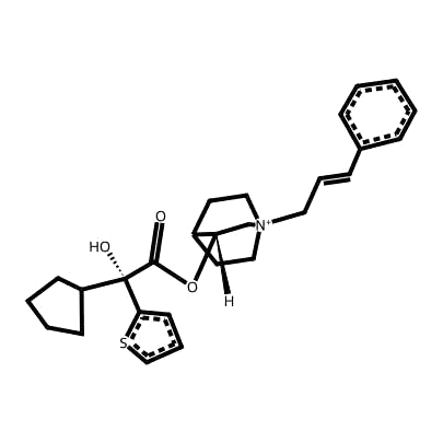 O=C(O[C@H]1C[N+]2(CC=Cc3ccccc3)CCC1CC2)[C@@](O)(c1cccs1)C1CCCC1